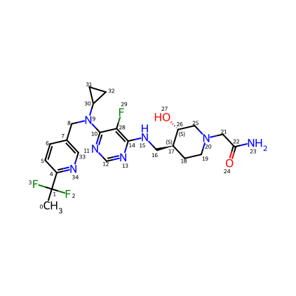 CC(F)(F)c1ccc(CN(c2ncnc(NC[C@@H]3CCN(CC(N)=O)C[C@H]3O)c2F)C2CC2)cn1